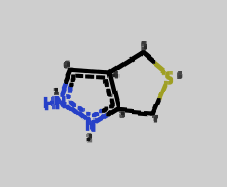 c1[nH]nc2c1CSC2